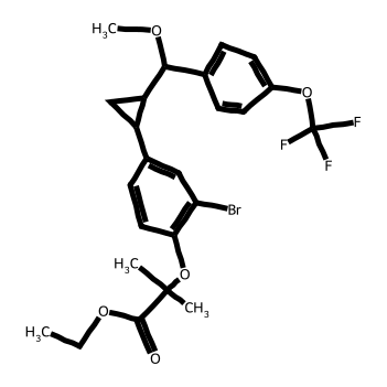 CCOC(=O)C(C)(C)Oc1ccc(C2CC2C(OC)c2ccc(OC(F)(F)F)cc2)cc1Br